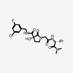 CC(C)[C@@H](NC(=O)CN1CC[C@](O)(C(=O)NCc2cc(F)cc(Cl)c2)C1=O)C(=O)N(C)C